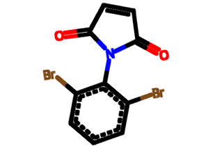 O=C1C=CC(=O)N1c1c(Br)cccc1Br